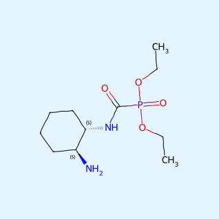 CCOP(=O)(OCC)C(=O)N[C@H]1CCCC[C@@H]1N